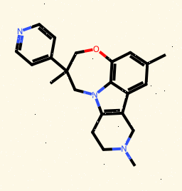 Cc1cc2c3c(c1)c1c(n3CC(C)(c3ccncc3)CO2)CCN(C)C1